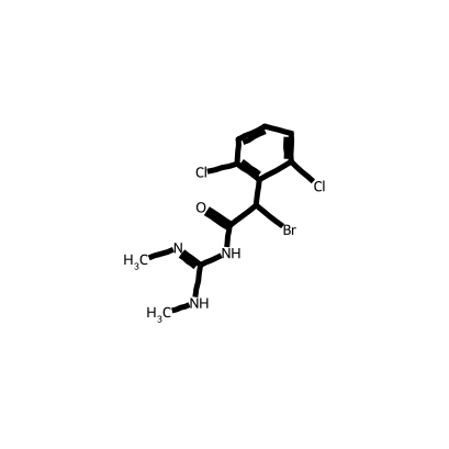 CN=C(NC)NC(=O)C(Br)c1c(Cl)cccc1Cl